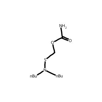 CCCCN(CCCC)SCOC(N)=O